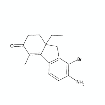 CCC12CCC(=O)C(C)=C1c1ccc(N)c(Br)c1C2